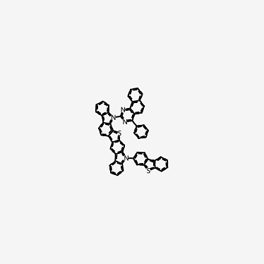 c1ccc(-c2nc(-n3c4ccccc4c4ccc5c6cc7c8ccccc8n(-c8ccc9c(c8)sc8ccccc89)c7cc6sc5c43)nc3c2ccc2ccccc23)cc1